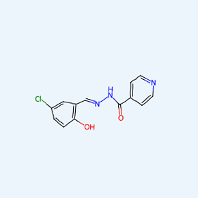 O=C(N/N=C/c1cc(Cl)ccc1O)c1ccncc1